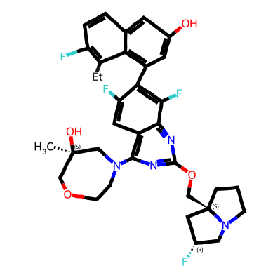 CCc1c(F)ccc2cc(O)cc(-c3c(F)cc4c(N5CCOC[C@@](C)(O)C5)nc(OC[C@@]56CCCN5C[C@H](F)C6)nc4c3F)c12